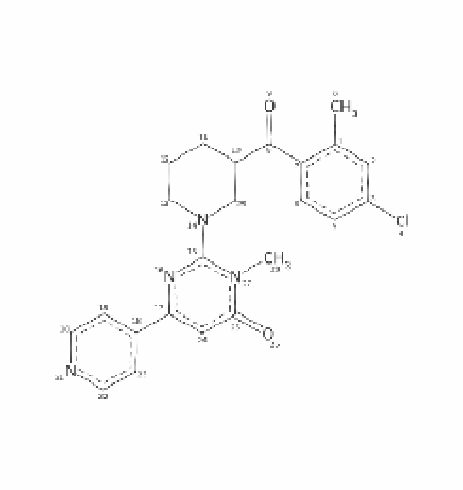 Cc1cc(Cl)ccc1C(=O)C1CCCN(c2nc(-c3ccncc3)cc(=O)n2C)C1